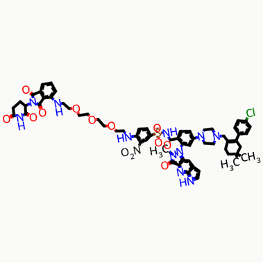 Cn1c(=O)c2nc3[nH]ccc3cc2n1-c1cc(N2CCN(CC3=C(c4ccc(Cl)cc4)CC(C)(C)CC3)CC2)ccc1C(=O)NS(=O)(=O)c1ccc(NCCOCCOCCOCCNc2cccc3c2C(=O)N(C2CCC(=O)NC2=O)C3=O)c([N+](=O)[O-])c1